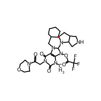 Cn1c2c(c(=O)n(CC(=O)N3CCOCC3)c1=O)N(CC1CCCCC1)C(N1CCC3CNCC31)N2OC(=O)C(F)(F)F